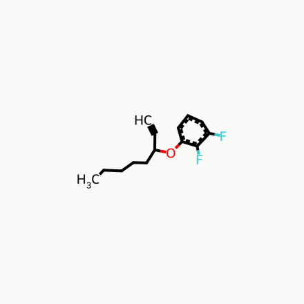 C#CC(CCCCC)Oc1cccc(F)c1F